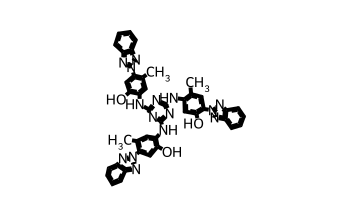 Cc1cc(-n2nc3ccccc3n2)c(O)cc1Nc1nc(Nc2cc(C)c(-n3nc4ccccc4n3)cc2O)nc(Nc2cc(C)c(-n3nc4ccccc4n3)cc2O)n1